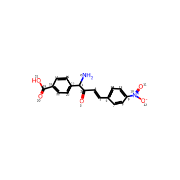 NC(C(=O)C=Cc1ccc([N+](=O)[O-])cc1)c1ccc(C(=O)O)cc1